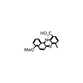 COc1cccc2c1ccc1nc3c(C)ccc(C(=O)O)c3nc12